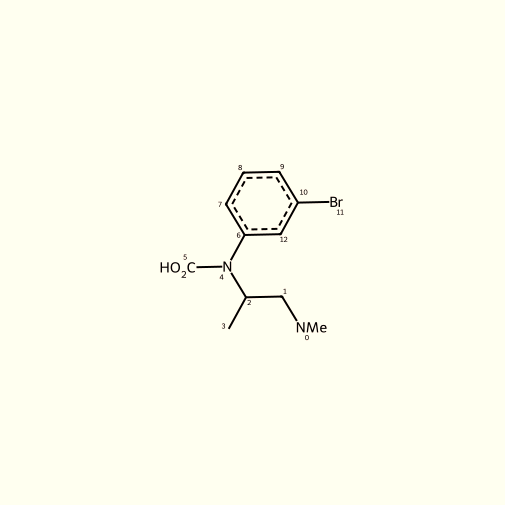 CNCC(C)N(C(=O)O)c1cccc(Br)c1